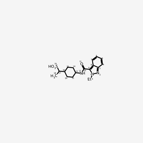 CCn1nc2ccccc2c1C(=O)NC1CCC(C(C)S(=O)(=O)O)CC1